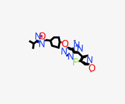 COc1cc(F)c(-c2nn(C)c3c(OC4CCC(c5nc(C(C)C)no5)CC4)ncnc23)cn1